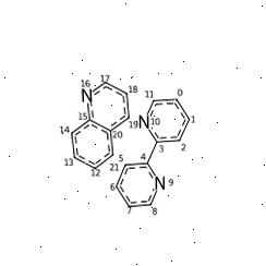 c1ccc(-c2ccccn2)nc1.c1ccc2ncccc2c1